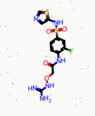 N=C(N)NOCC(=O)Nc1ccc(S(=O)(=O)Nc2cncs2)cc1F